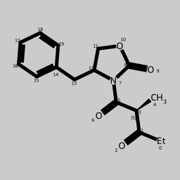 CCC(=O)[C@H](C)C(=O)N1C(=O)OCC1Cc1ccccc1